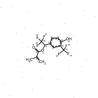 C=C(C)C(=O)OC(c1ccc(O)c(C(F)(F)F)c1)C(F)(F)F